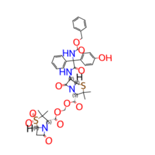 CC1(C)S[C@@H]2[C@H](NC(=O)C(NC(=O)OCc3ccccc3)(c3ccccc3)c3ccc(O)cc3)C(=O)N2[C@H]1C(=O)OCOC(=O)[C@@H]1N2C(=O)C[C@H]2S(=O)(=O)C1(C)C